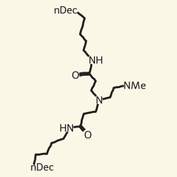 CCCCCCCCCCCCCCNC(=O)CCN(CCNC)CCC(=O)NCCCCCCCCCCCCCC